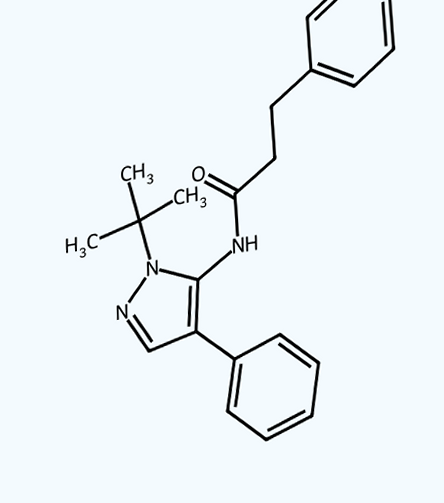 CC(C)(C)n1ncc(-c2ccccc2)c1NC(=O)CCc1ccccc1